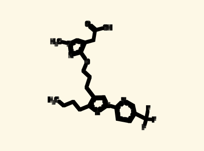 CCCCc1nn(-c2ccc(C(F)(F)F)cn2)cc1CCCOc1nn(C)cc1CC(=O)O